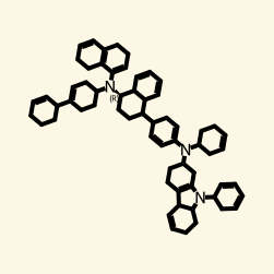 C1=CCC(N2C3=C(CCC(N(C4=CCC(C5CC[C@@H](N(C6=CCCC7=C6CCC=C7)C6CC=C(C7C=CCCC7)CC6)C6C=CC=CC56)C=C4)C4CC=CCC4)C3)C3C=CCCC32)C=C1